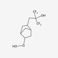 OOC1CC2CC1CC2CC(O)(C(F)(F)F)C(F)(F)F